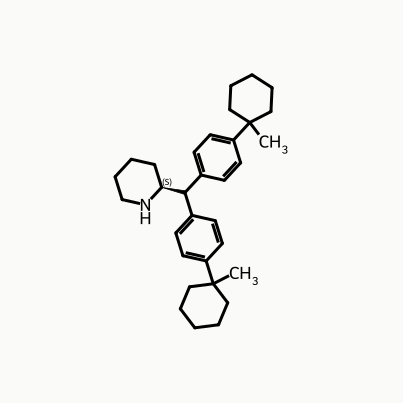 CC1(c2ccc(C(c3ccc(C4(C)CCCCC4)cc3)[C@@H]3CCCCN3)cc2)CCCCC1